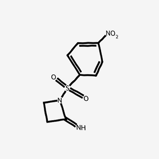 N=C1CCN1S(=O)(=O)c1ccc([N+](=O)[O-])cc1